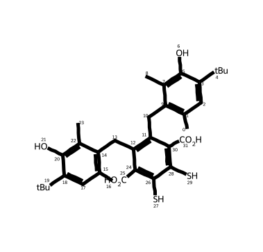 Cc1cc(C(C)(C)C)c(O)c(C)c1Cc1c(Cc2c(C)cc(C(C)(C)C)c(O)c2C)c(C(=O)O)c(S)c(S)c1C(=O)O